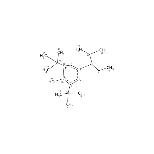 CCC(c1cc(C(C)(C)C)c(O)c(C(C)(C)C)c1)C(C)N